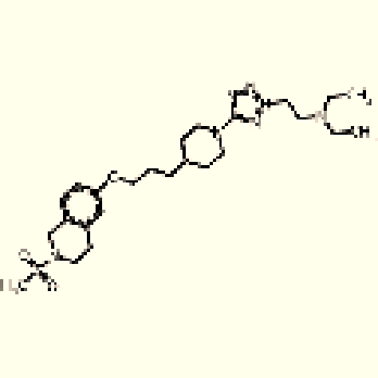 CCN(CC)CCn1nnc(N2CCC(CCCOc3ccc4c(c3)CCN(S(C)(=O)=O)C4)CC2)n1